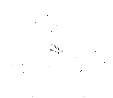 N=C=O.[Na][Cl]